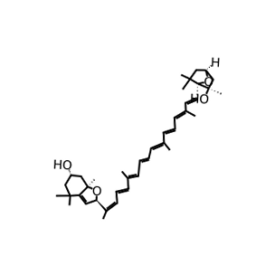 C/C(=C/C=C/C(C)=C/C=C/C=C(C)/C=C/C=C(C)/C=C/[C@@]12O[C@@H](CC1(C)C)C[C@@]2(C)O)[C@H]1C=C2C(C)(C)C[C@H](O)C[C@@]2(C)O1